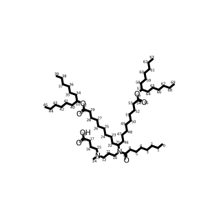 CCCCCCCC(=O)N(CCCN(C)CCCC(=O)O)C(CCCCCCCCC(=O)OC(CCCCCC)CCCCCC)CCCCCCCCC(=O)OC(CCCCCC)CCCCCC